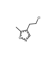 Cc1oncc1CCCl